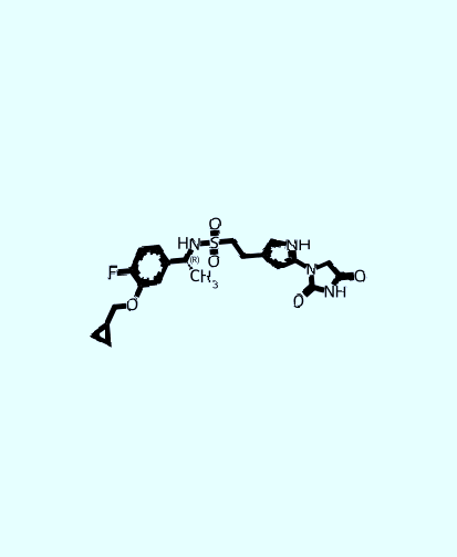 C[C@@H](NS(=O)(=O)CCc1c[nH]c(N2CC(=O)NC2=O)c1)c1ccc(F)c(OCC2CC2)c1